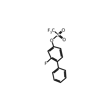 O=S(=O)(Oc1ccc(-c2ccccc2)c(F)c1)C(F)(F)F